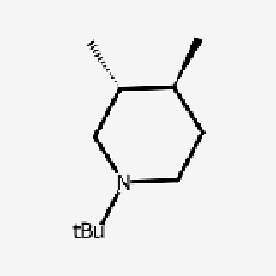 C[C@H]1CCN(C(C)(C)C)C[C@@H]1C